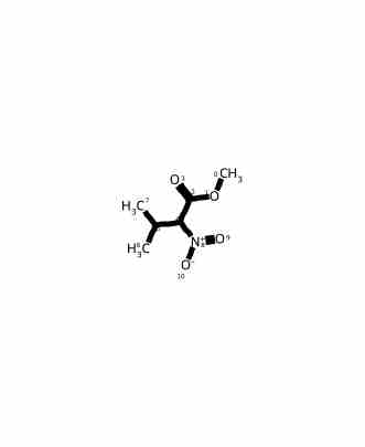 COC(=O)C(C(C)C)[N+](=O)[O-]